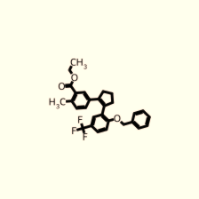 CCOC(=O)c1cc(C2=C(c3cc(C(F)(F)F)ccc3OCc3ccccc3)CCC2)ccc1C